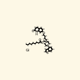 CCCCCCCCC(=O)OC[N+]1(CCCCOc2ccc3ccc(=O)[nH]c3c2)CCN(c2cccc3sccc23)CC1.[Cl-]